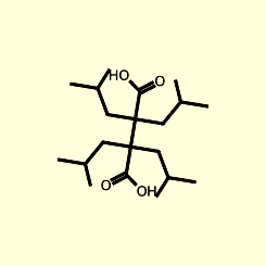 CC(C)CC(CC(C)C)(C(=O)O)C(CC(C)C)(CC(C)C)C(=O)O